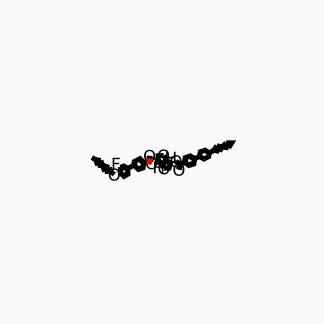 CC1C2C1C21C2C(Oc3ccc(-c4ccc(C(=O)O[C@@H]5CO[C@@H]6[C@H]5OC[C@@H]6OC(=O)c5ccc(C6CCC(C7C8C7C87C8CC87)CC6)cc5)cc4)cc3F)C21